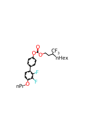 CCCCCCC(CCOC(=O)Oc1ccc(-c2ccc(OCCC)c(F)c2F)cc1)C(F)(F)F